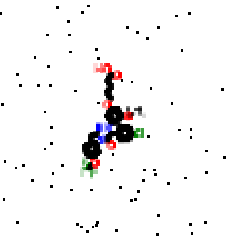 COc1cc(NC(C(=O)n2ccc3ccc(OC(F)(F)F)cc32)c2ccc(Cl)cc2)cc(OCCCCC(=O)O)c1